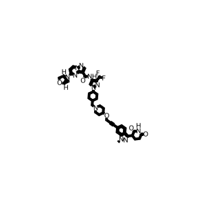 Cn1nc(C2CCC(=O)NC2=O)c2ccc(C#CCOC3CCN(CC4CCC(n5cc(NC(=O)c6cnn7ccc(N8C[C@H]9C[C@@H]8CO9)nc67)c(C(F)F)n5)CC4)CC3)cc21